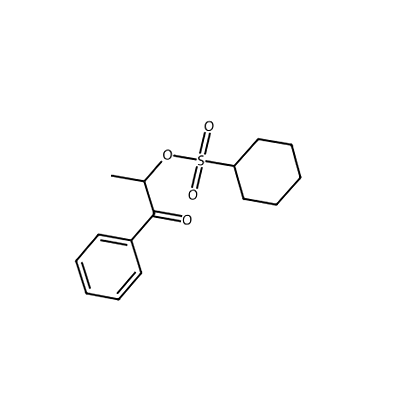 CC(OS(=O)(=O)C1CCCCC1)C(=O)c1ccccc1